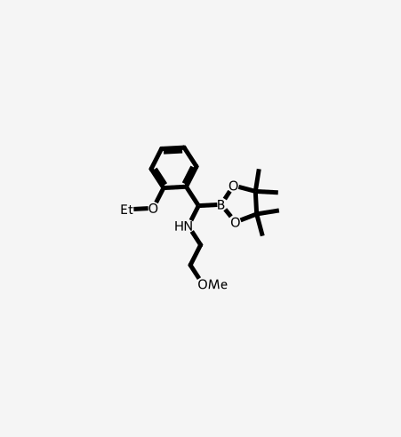 CCOc1ccccc1C(NCCOC)B1OC(C)(C)C(C)(C)O1